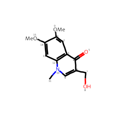 COc1cc2c(=O)c(CO)cn(C)c2cc1OC